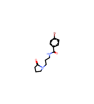 O=C(NCCCN1CCCC1=O)c1ccc(Br)cc1